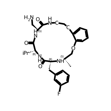 CC(C)[C@H]1NC(=O)[C@@H](Cc2cccc(F)c2)N[C@@H](C)COc2ccccc2CCCNC(=O)[C@H](CN)NC1=O